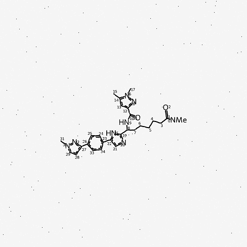 CNC(=O)CCCCCC(NC(=O)c1cc(C)n(C)n1)c1ncc(-c2ccc(-c3ccn(C)n3)cc2)[nH]1